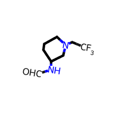 O=CNC1CCCN(CC(F)(F)F)C1